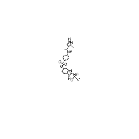 Cc1n[nH]cc1C(C)Nc1ccc(S(=O)(=O)Oc2ccc3[nH]c(NC(=O)C4CC4)nc3c2)cc1